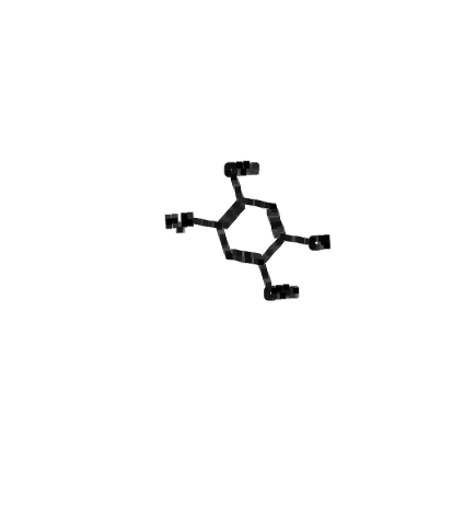 COc1cc(C#N)c(OC)cc1N